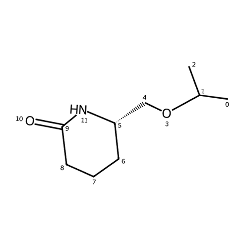 CC(C)OC[C@@H]1CCCC(=O)N1